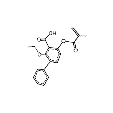 C=C(C)C(=O)Oc1ccc(-c2ccccc2)c(OCC)c1C(=O)O